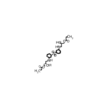 C=CC(=O)OCC(O)CNc1cccc(S(=O)(=O)c2cccc(NCC(O)COC(=O)C=C)c2)c1